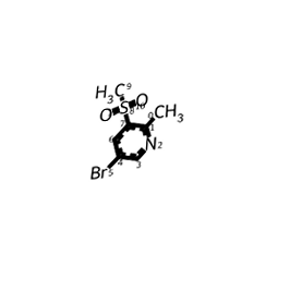 Cc1ncc(Br)cc1S(C)(=O)=O